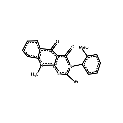 COc1ccccc1-n1c(C(C)C)nc2c(c(=O)c3ccccc3n2C)c1=O